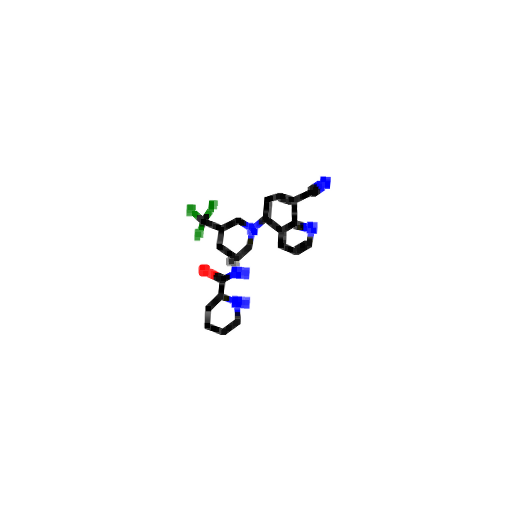 N#Cc1ccc(N2CC(C(F)(F)F)C[C@@H](NC(=O)C3CCCCN3)C2)c2cccnc12